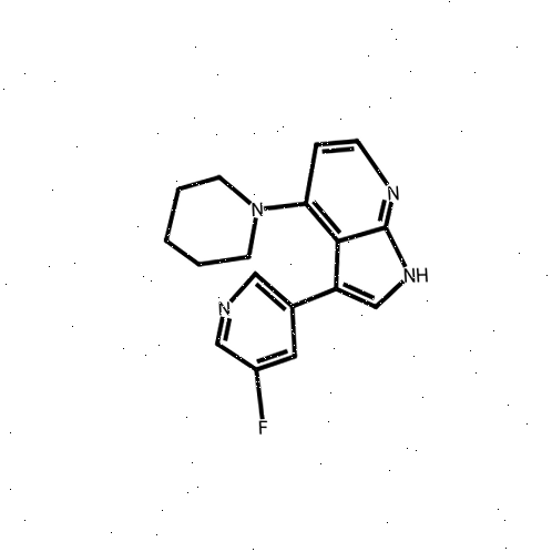 Fc1cncc(-c2c[nH]c3nccc(N4CCCCC4)c23)c1